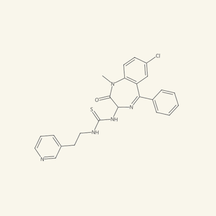 CN1C(=O)C(NC(=S)NCCc2cccnc2)N=C(c2ccccc2)c2cc(Cl)ccc21